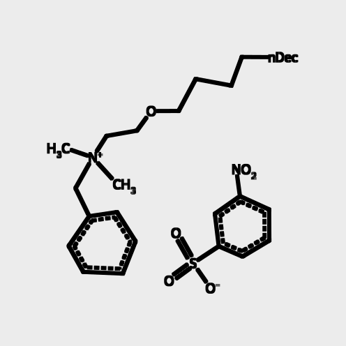 CCCCCCCCCCCCCCOCC[N+](C)(C)Cc1ccccc1.O=[N+]([O-])c1cccc(S(=O)(=O)[O-])c1